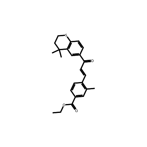 CCOC(=O)c1ccc(/C=C/C(=O)c2ccc3c(c2)C(C)(C)CCS3)c(C)c1